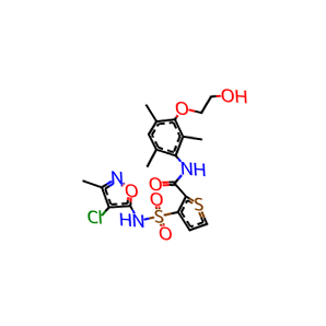 Cc1cc(C)c(OCCO)c(C)c1NC(=O)c1sccc1S(=O)(=O)Nc1onc(C)c1Cl